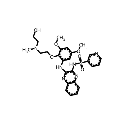 COc1cc(Nc2nc3ccccc3nc2NS(=O)(=O)c2cccnc2)c(OCCN(C)CCO)c(OC)c1